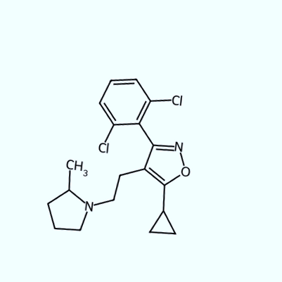 CC1CCCN1CCc1c(-c2c(Cl)cccc2Cl)noc1C1CC1